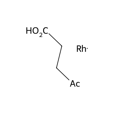 CC(=O)CCC(=O)O.[Rh]